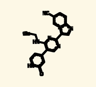 CC(C)(C)CNc1nc(-c2cnc3ccc(C#N)cn23)ncc1-c1cc[nH]c(=O)c1